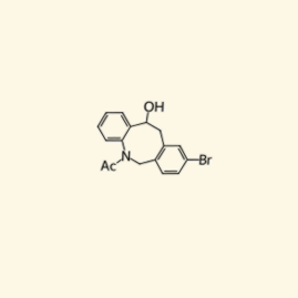 CC(=O)N1Cc2ccc(Br)cc2CC(O)c2ccccc21